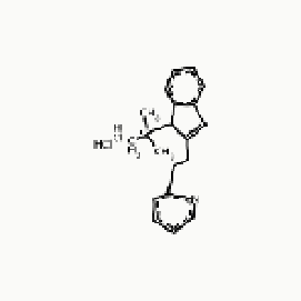 C[Si](C)(C)C1C(CCc2ccccn2)=Cc2ccccc21.Cl.Cl